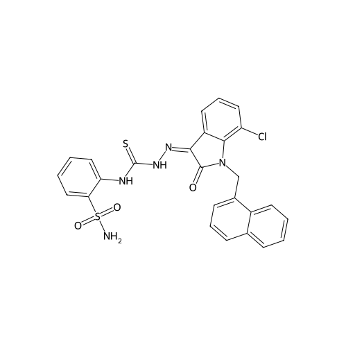 NS(=O)(=O)c1ccccc1NC(=S)NN=C1C(=O)N(Cc2cccc3ccccc23)c2c(Cl)cccc21